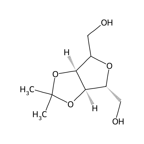 CC1(C)O[C@@H]2[C@@H](CO)OC(CO)[C@@H]2O1